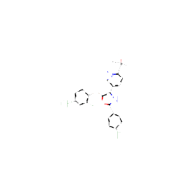 CC(C)(O)c1ccc(-c2nc(-c3ccc(F)cc3)oc2Sc2ccc(Cl)cc2F)cn1